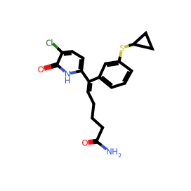 NC(=O)CCC/C=C(\c1cccc(SC2CC2)c1)c1ccc(Cl)c(=O)[nH]1